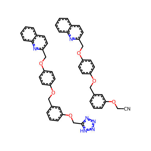 N#CCOc1cccc(COc2ccc(OCc3ccc4ccccc4n3)cc2)c1.c1cc(COc2ccc(OCc3ccc4ccccc4n3)cc2)cc(OCc2nnn[nH]2)c1